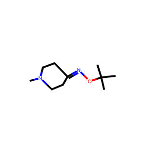 CN1CCC(=NOC(C)(C)C)CC1